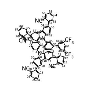 N#Cc1ccc(-n2c3ccc(-c4ccccc4C#N)cc3c3cc(-c4ccccc4C#N)ccc32)c(-c2ccc(-c3cc(C(F)(F)F)cc(C(F)(F)F)c3)cc2-n2c3ccc(-c4ccccc4C#N)cc3c3cc(-c4ccccc4C#N)ccc32)c1